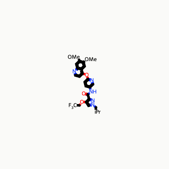 COc1cc2nccc(Oc3ccc(NC(=O)c4nn(CC(C)C)cc4OCC(F)(F)F)cn3)c2cc1OC